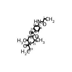 C=CC(=O)Nc1ccc(S(=O)(=O)N2CC(C)N(C(=O)C=C)CC2C)cc1